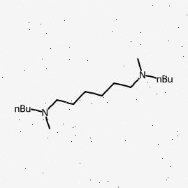 CCCCN(C)CCCCCCN(C)CCCC